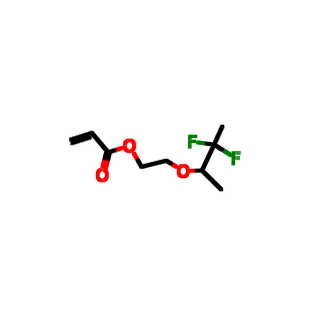 C=CC(=O)OCCOC(C)C(C)(F)F